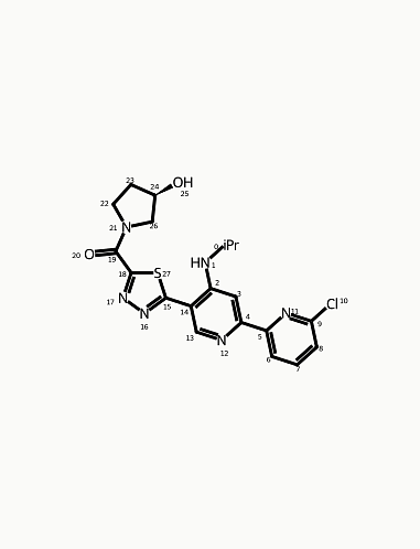 CC(C)Nc1cc(-c2cccc(Cl)n2)ncc1-c1nnc(C(=O)N2CC[C@@H](O)C2)s1